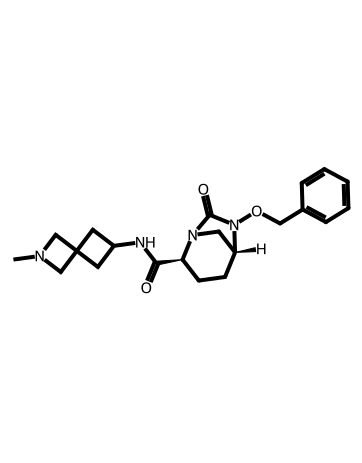 CN1CC2(CC(NC(=O)[C@@H]3CC[C@@H]4CN3C(=O)N4OCc3ccccc3)C2)C1